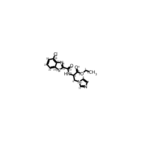 CCOC(=O)C(Cn1ccnc1)NC(=O)c1nc2c(Cl)cccc2s1